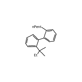 CCCCCc1ccccc1-c1ccccc1C(C)(C)CC